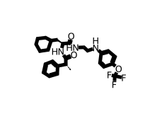 C[C@@H](C(=O)N[C@@H](CC1CCCCC1)C(=O)NCCNc1ccc(OC(F)(F)F)cc1)c1ccccc1